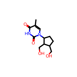 Cc1cn(C2CCC(CO)C2CO)c(=O)[nH]c1=O